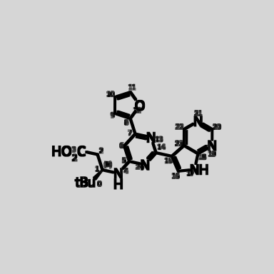 CC(C)(C)[C@@H](CC(=O)O)Nc1cc(-c2ccco2)nc(-c2c[nH]c3ncncc23)n1